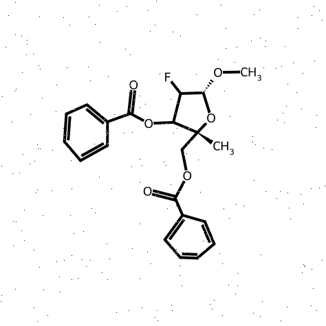 CO[C@@H]1O[C@](C)(COC(=O)c2ccccc2)C(OC(=O)c2ccccc2)C1F